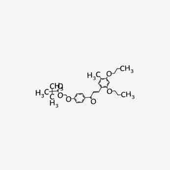 CCCOc1cc(OCCC)c(C=CC(=O)c2ccc(OCOC(=O)C(C)(C)C)cc2)cc1C